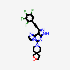 Fc1cc(C#Cc2n[nH]c3nc(N4CCC5(CCOC5)CC4)n4ccnc4c23)c(F)c(F)c1F